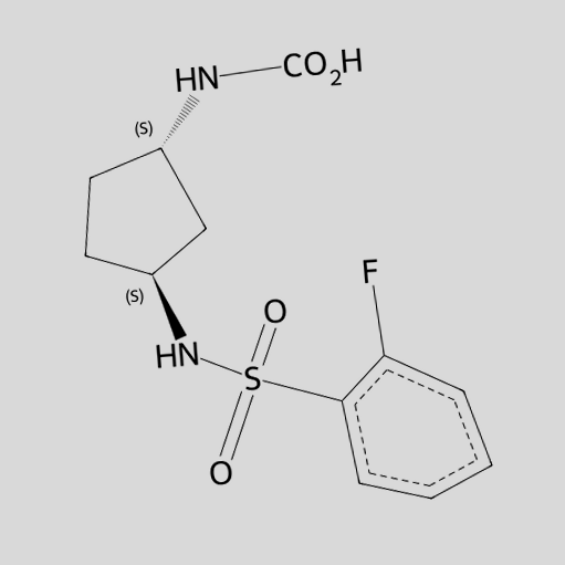 O=C(O)N[C@H]1CC[C@H](NS(=O)(=O)c2ccccc2F)C1